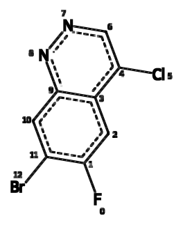 Fc1cc2c(Cl)cnnc2cc1Br